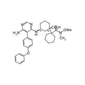 CON(C)C(=O)C1([C@@]2(C(=O)O)CCC[C@H](Nc3ncnc(N)c3-c3ccc(Oc4ccccc4)cc3)C2)CCCCC1